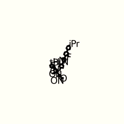 CC(C)c1ccc(-c2ccc(-c3cnc(-c4ccc(C[C@H](NC(=O)c5ccc(C(C)(C)C)s5)C(=C=O)N5CC(C(=O)N=O)C5)cc4)nc3)c(F)c2)cc1